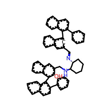 Oc1c(CNC2CCCC[C@H]2/N=C/c2cc(-c3c(-c4ccccc4)ccc4ccccc34)c3ccccc3c2)cc2ccccc2c1-c1c(-c2ccccc2)ccc2ccccc12